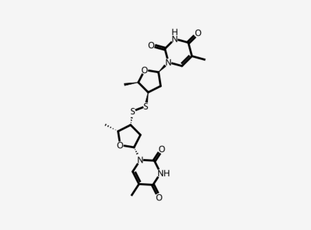 Cc1cn([C@H]2C[C@@H](SS[C@@H]3C[C@H](n4cc(C)c(=O)[nH]c4=O)O[C@@H]3C)[C@@H](C)O2)c(=O)[nH]c1=O